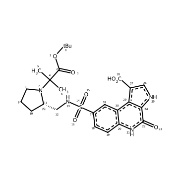 CC(C)(C)OC(=O)C(C)(C)N1CCC[C@H]1CNS(=O)(=O)c1ccc2[nH]c(=O)c3[nH]cc(C(=O)O)c3c2c1